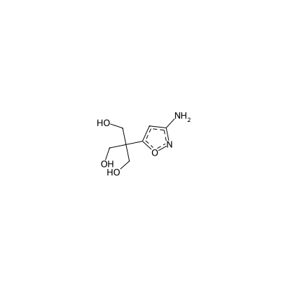 Nc1cc(C(CO)(CO)CO)on1